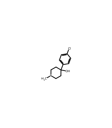 [CH2]N1CCC(O)(c2ccc(Cl)cc2)CC1